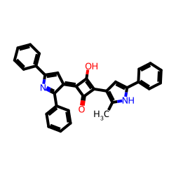 Cc1[nH]c(-c2ccccc2)cc1C1=C(O)/C(=C2\C=C(c3ccccc3)N=C2c2ccccc2)C1=O